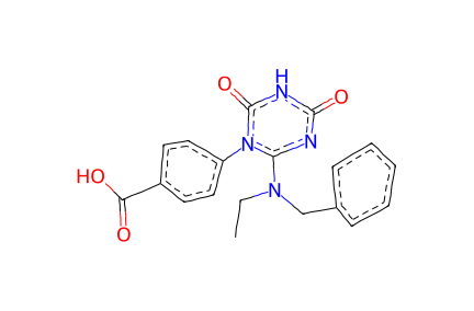 CCN(Cc1ccccc1)c1nc(=O)[nH]c(=O)n1-c1ccc(C(=O)O)cc1